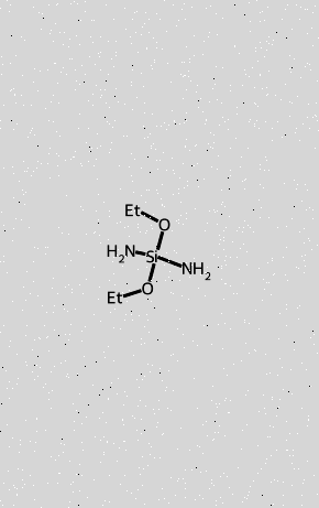 CCO[Si](N)(N)OCC